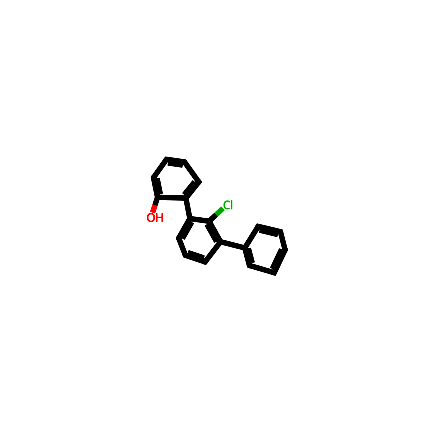 Oc1ccccc1-c1cccc(-c2ccccc2)c1Cl